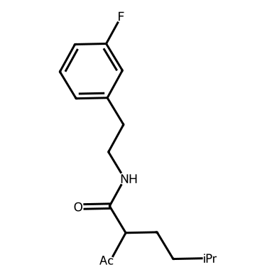 CC(=O)C(CCC(C)C)C(=O)NCCc1cccc(F)c1